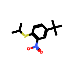 CC(C)Sc1ccc(C(C)(C)C)cc1[N+](=O)[O-]